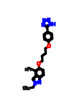 CCCc1c(OCCCCOc2ccc(-c3nnn[nH]3)cc2)ccc2nn(CC(C)(C)C)cc12